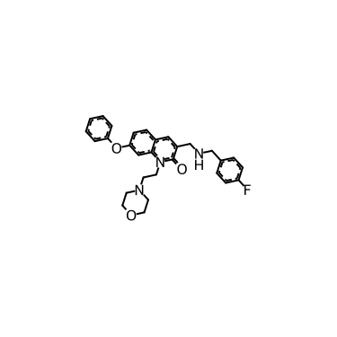 O=c1c(CNCc2ccc(F)cc2)cc2ccc(Oc3ccccc3)cc2n1CCN1CCOCC1